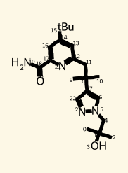 CC(C)(O)Cn1cc(C(C)(C)Cc2cc(C(C)(C)C)cc(C(N)=O)n2)cn1